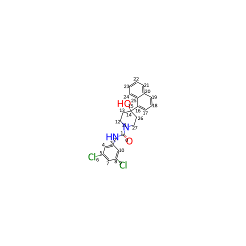 O=C(Nc1cc(Cl)cc(Cl)c1)N1CCC(O)(c2cccc3ccccc23)CC1